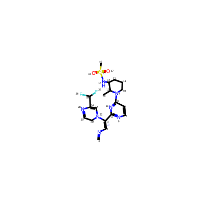 C=N/C=C(/c1nccc(N2CCCC(NS(C)(=O)=O)C2C)n1)N1C=C(C(F)F)N=CC1